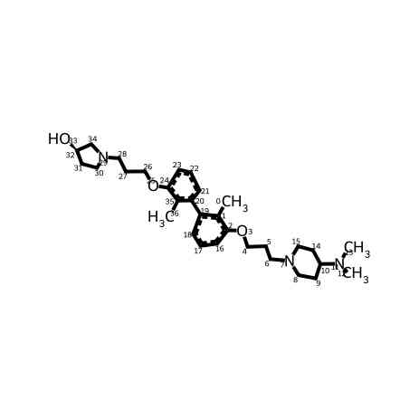 Cc1c(OCCCN2CCC(N(C)C)CC2)cccc1-c1cccc(OCCCN2CC[C@@H](O)C2)c1C